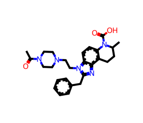 CC(=O)N1CCN(CCn2c(Cc3ccccc3)nc3c4c(ccc32)N(C(=O)O)C(C)CC4)CC1